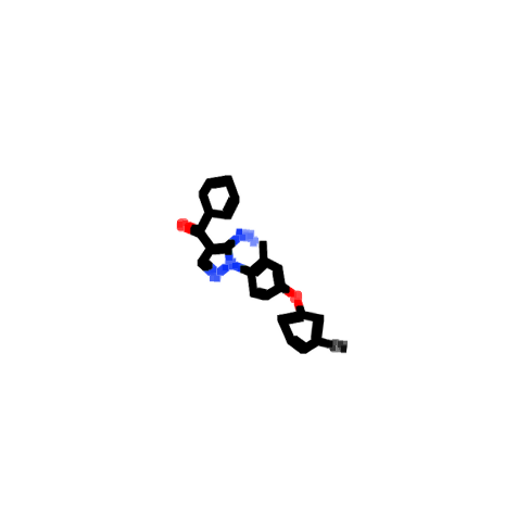 Cc1cc(Oc2cccc(C#N)c2)ccc1-n1ncc(C(=O)C2C=CC=CC2)c1N